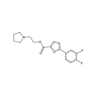 O=C(OCCN1CCCC1)c1ccc(-c2ccc(F)c(F)c2)o1